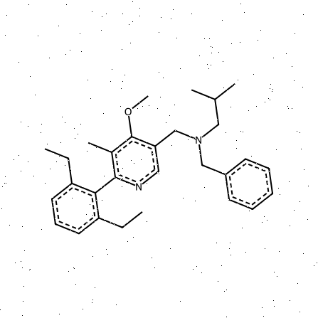 CCc1cccc(CC)c1-c1ncc(CN(Cc2ccccc2)CC(C)C)c(OC)c1C